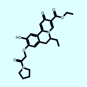 CCOC(=O)c1cn2c(cc1=O)-c1cc(O)c(OCC(=O)N3CCCC3)cc1CC2CC